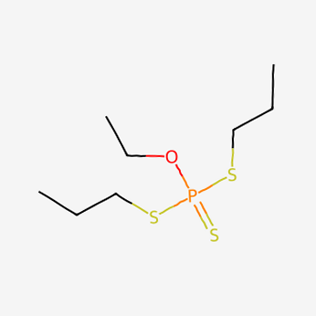 CCCSP(=S)(OCC)SCCC